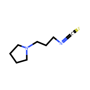 S=C=NCCCN1CCCC1